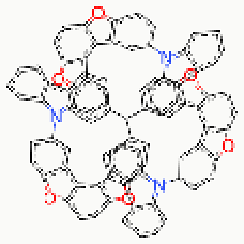 c1ccc2c(c1)c1ccccc1n2-c1ccc2oc3ccc4oc5ccc(C(c6ccc7oc8ccc9oc%10ccc(-n%11c%12ccccc%12c%12ccccc%12%11)cc%10c9c8c7c6)c6ccc7oc8ccc9oc%10ccc(-n%11c%12ccccc%12c%12ccccc%12%11)cc%10c9c8c7c6)cc5c4c3c2c1